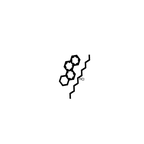 CCCCCCCCCCCC.Cl.c1ccc2c(c1)ccc1c3c(ccc12)CCCC3